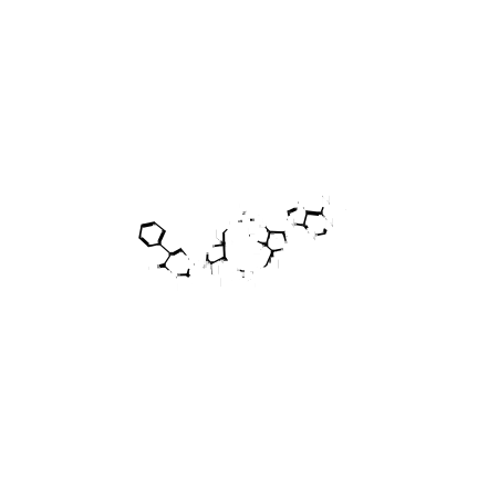 Nc1ncnc2c1ncn2[C@@H]1O[C@@H]2COP(=O)(O)O[C@H]3[C@@H](F)[C@H](n4cc(-c5ccccc5)c(=O)[nH]c4=O)O[C@@H]3CO[PH](=O)O[C@@H]1[C@@H]2F